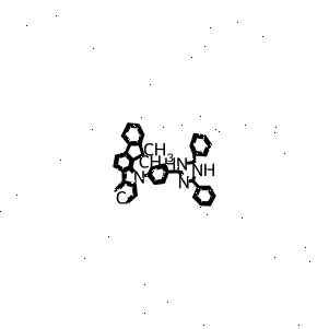 CC1(C)c2ccccc2-c2ccc3c4ccccc4n(-c4ccc(C5=NC(c6ccccc6)NC(c6ccccc6)N5)cc4)c3c21